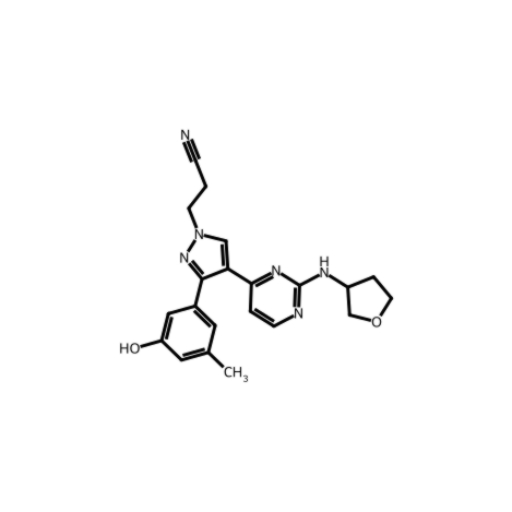 Cc1cc(O)cc(-c2nn(CCC#N)cc2-c2ccnc(NC3CCOC3)n2)c1